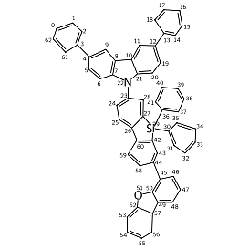 c1ccc(-c2ccc3c(c2)c2cc(-c4ccccc4)ccc2n3-c2ccc3c(c2)[Si](c2ccccc2)(c2ccccc2)c2cc(-c4cccc5c4oc4ccccc45)ccc2-3)cc1